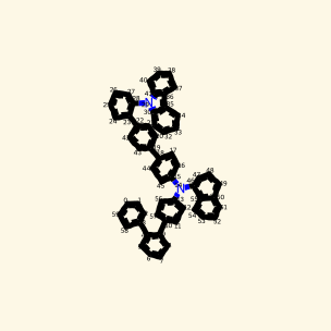 c1ccc(-c2ccccc2-c2ccc(N(c3ccc(-c4ccc(-c5ccccc5-n5c6ccccc6c6ccccc65)cc4)cc3)c3cccc4ccccc34)cc2)cc1